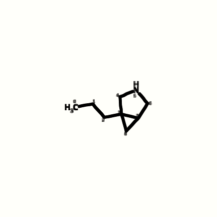 CCCC12CNCC1C2